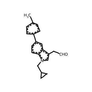 Cc1ccc(-c2ccc3c(c2)c(CC=O)cn3CC2CC2)cc1